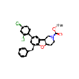 CC(C)(C)OC(=O)N1CCC2Oc3c(Cc4ccccc4)cc(-c4ccc(Cl)cc4Cl)cc3C2C1